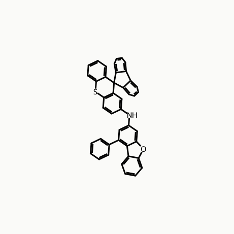 c1ccc(-c2cc(Nc3ccc4c(c3)C3(c5ccccc5S4)c4ccccc4-c4ccccc43)cc3oc4ccccc4c23)cc1